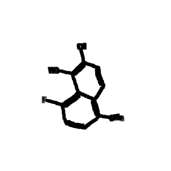 COc1ccc(F)c2c(O)c(C#N)ccc12